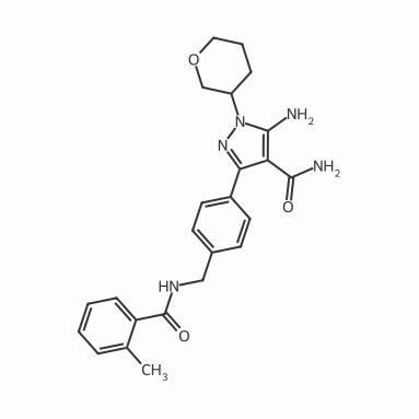 Cc1ccccc1C(=O)NCc1ccc(-c2nn(C3CCCOC3)c(N)c2C(N)=O)cc1